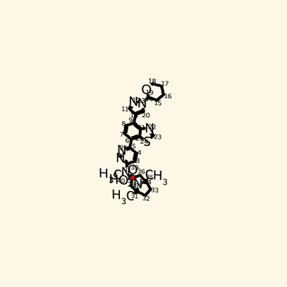 CN(c1ccc(-c2ccc(-c3cnn(C4CCCCO4)c3)c3ncsc23)nn1)C1CC2(C)CCC(C)(C1)N2C(=O)O